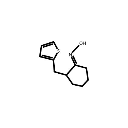 ON=C1CCCCC1Cc1cccs1